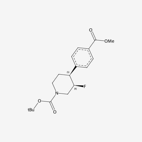 COC(=O)c1ccc([C@@H]2CCN(C(=O)OC(C)(C)C)C[C@@H]2F)cc1